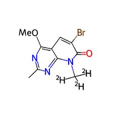 [2H]C([2H])([2H])n1c(=O)c(Br)cc2c(OC)nc(C)nc21